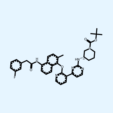 Cc1ccc2c(NC(=O)Cc3cccc(F)c3)cccc2c1Oc1ncccc1-c1ccnc(N[C@H]2CCCN(C(=O)OC(C)(C)C)C2)n1